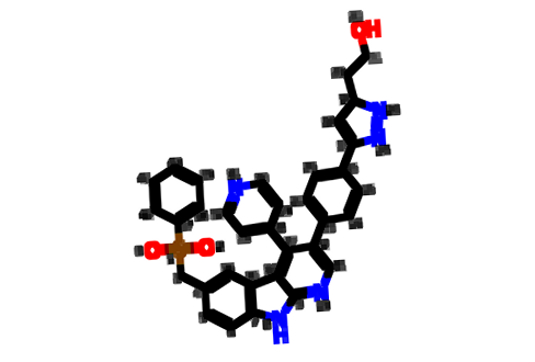 O=S(=O)(Cc1ccc2[nH]c3ncc(-c4ccc(C5=CC(CCO)N=N5)cc4)c(-c4ccncc4)c3c2c1)c1ccccc1